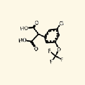 O=C(O)C(C(=O)O)c1cc(Cl)cc(OC(F)(F)F)c1